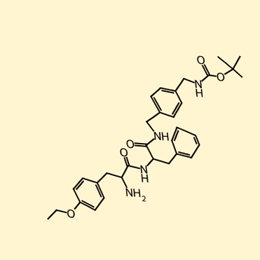 CCOc1ccc(CC(N)C(=O)NC(Cc2ccccc2)C(=O)NCc2ccc(CNC(=O)OC(C)(C)C)cc2)cc1